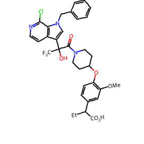 CCC(C(=O)O)c1ccc(OC2CCN(C(=O)C(O)(c3cn(Cc4ccccc4)c4c(Cl)nccc34)C(F)(F)F)CC2)c(OC)c1